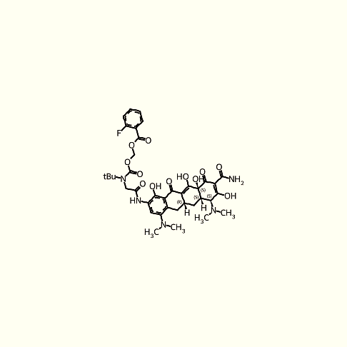 CN(C)c1cc(NC(=O)CN(C(=O)OCOC(=O)c2ccccc2F)C(C)(C)C)c(O)c2c1C[C@H]1C[C@H]3[C@H](N(C)C)C(O)=C(C(N)=O)C(=O)[C@@]3(O)C(O)=C1C2=O